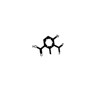 Cc1c(C(=O)O)ccc(Br)c1C(F)F